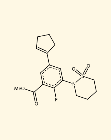 COC(=O)c1cc(C2=CCCC2)cc(N2CCCCS2(=O)=O)c1F